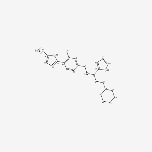 Cc1cc(COC(CCC2CCCCC2)c2cncs2)ccc1-c1ccc(C(=O)O)s1